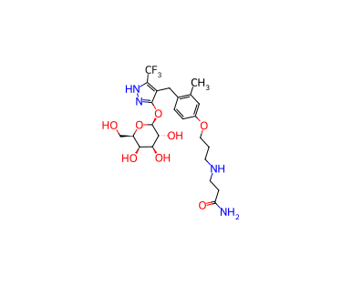 Cc1cc(OCCCNCCC(N)=O)ccc1Cc1c(O[C@@H]2O[C@H](CO)[C@H](O)[C@H](O)[C@H]2O)n[nH]c1C(F)(F)F